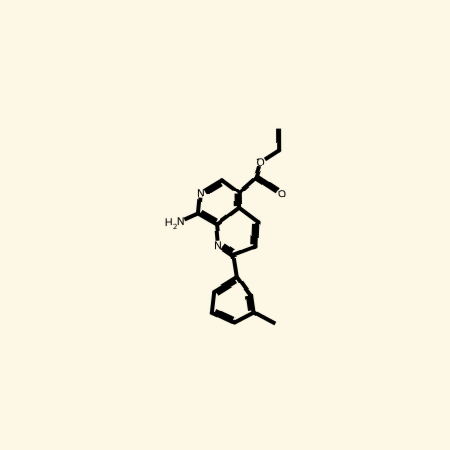 CCOC(=O)c1cnc(N)c2nc(-c3cccc(C)c3)ccc12